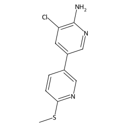 CSc1ccc(-c2cnc(N)c(Cl)c2)cn1